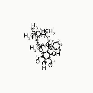 C=C1CC[C@H]2[C@H](c3ccccc3)c3c(O)c(C=O)c(O)c(C=O)c3O[C@]2(C)CC[C@@H]2[C@@H]1CC2(C)C